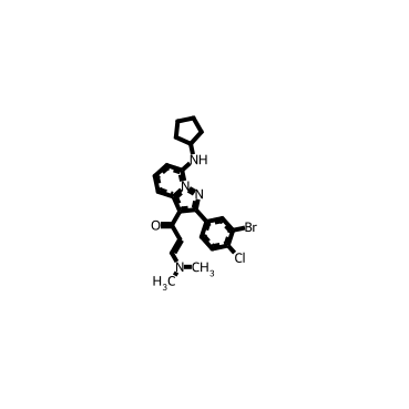 CN(C)C=CC(=O)c1c(-c2ccc(Cl)c(Br)c2)nn2c(NC3CCCC3)cccc12